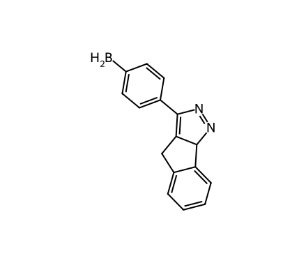 Bc1ccc(C2=C3Cc4ccccc4C3N=N2)cc1